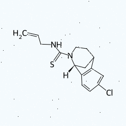 C=CCNC(=S)N1CCC2C[C@@H]1c1ccc(Cl)cc12